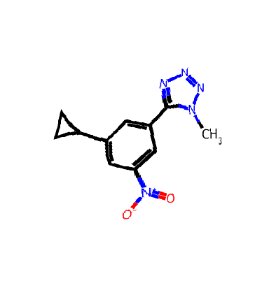 Cn1nnnc1-c1cc(C2CC2)cc([N+](=O)[O-])c1